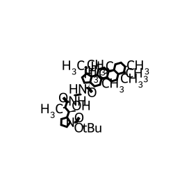 C=C(C)[C@@H]1CC[C@]2(C(=O)NCCNC(=O)[C@H](C)[C@@H](CO)C3CCCN3C(=O)OC(C)(C)C)CC[C@]3(C)C(CCC4[C@@]5(C)CC[C@H](C)C(C)(C)C5CC[C@]43C)[C@@H]12